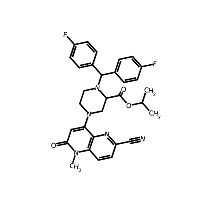 CC(C)OC(=O)C1CN(c2cc(=O)n(C)c3ccc(C#N)nc23)CCN1C(c1ccc(F)cc1)c1ccc(F)cc1